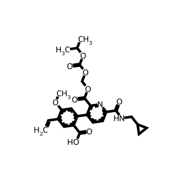 C=Cc1cc(C(=O)O)c(-c2ccc(C(=O)NCC3CC3)nc2C(=O)OCOC(=O)OC(C)C)cc1OC